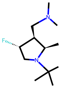 C[C@@H]1[C@H](CN(C)C)[C@@H](F)CN1C(C)(C)C